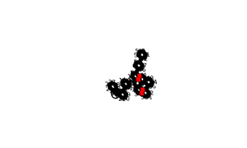 c1ccc(-c2ccc(-c3ccc(N(c4cccc(-c5cccc6oc7ccccc7c56)c4)c4ccccc4-c4cccc5cccc(-c6ccccc6)c45)cc3)cc2)cc1